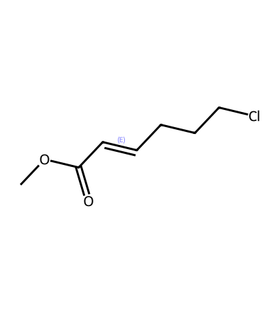 COC(=O)/C=C/CCCCl